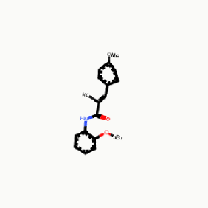 CCCCOc1ccccc1NC(=O)/C(C#N)=C/c1ccc(OC)cc1